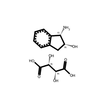 N[C@H]1c2ccccc2C[C@H]1O.O=C(O)[C@H](O)[C@@H](O)C(=O)O